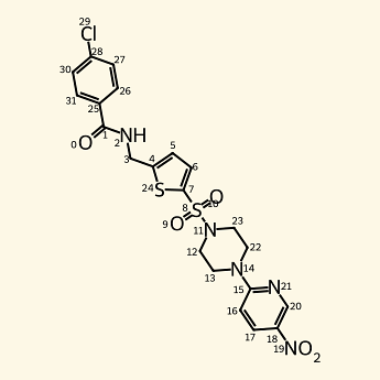 O=C(NCc1ccc(S(=O)(=O)N2CCN(c3ccc([N+](=O)[O-])cn3)CC2)s1)c1ccc(Cl)cc1